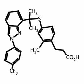 Cc1cc(SC(C)(C)c2cccc3cn(-c4ccc(C(F)(F)F)cc4)nc23)ccc1CCC(=O)O